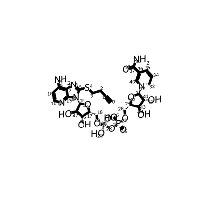 C#CCCSc1nc2c(N)ccnc2n1[C@@H]1O[C@H](COP(=O)(O)OP(=O)(O)OC[C@@H]2O[C@H]([n+]3cccc(C(N)=O)c3)[C@H](O)C2O)[C@H](O)C1O